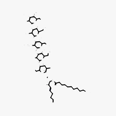 CCCCCCCCCCCCC/C=C/[C@@H](O)[C@H](CO[C@@H]1OC(CO)[C@@H](O[C@@H]2OC(CO)[C@H](O)[C@H](O[C@@H]3OC(CO)[C@@H](O)[C@H](O[C@@H]4OC(CO)[C@H](O)[C@H](O[C@H]5OC(CO)[C@H](O)[C@H](O)C5O)C4O)C3NC(C)=O)C2O)[C@H](O)C1O)NC(=O)CCCCCCCCCCCCCCCCCCC